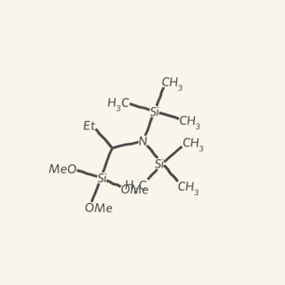 CCC(N([Si](C)(C)C)[Si](C)(C)C)[Si](OC)(OC)OC